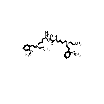 CCCN(CCCCNC(=O)C(=O)OC(N)CCCN(CCC)CCc1ccccc1OC)CCc1ccccc1OC